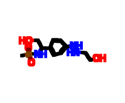 CS(=O)(=O)NC(CO)c1ccc(NNCCO)cc1